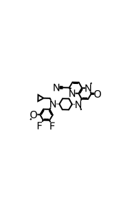 COc1cc(N(CC2CC2)[C@H]2CC[C@@H](N(C)c3cc(=O)n(C)c4ccc(C#N)nc34)CC2)cc(F)c1F